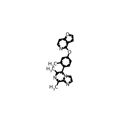 Cc1cc(Oc2nccc3occc23)ccc1-c1c(C)nc(C)c2nccn12